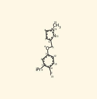 CC(C)c1cc(OCc2ccn(C)n2)ccc1F